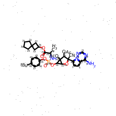 CC(=O)OC1C(C#N)(c2ccc3c(N)ncnn23)OC2C(OP(=O)(NC(C)C(=O)OC3CC4(CCCC4)C3)Oc3ccc(C(C)(C)C)cc3)C21OC(C)=O